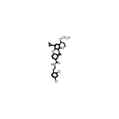 O=C(O)OC1CCOc2c1cc(C1CC1)c(Oc1ccc(C(=O)NCCc3ccc(Cl)cc3Cl)cc1)c2C1CC1